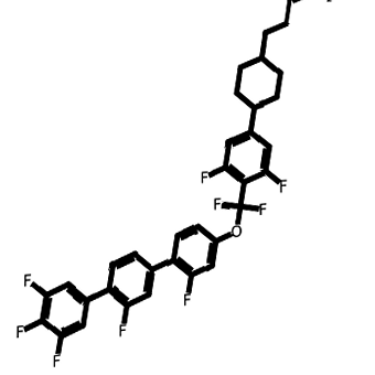 C=CCCC1CCC(c2cc(F)c(C(F)(F)Oc3ccc(-c4ccc(-c5cc(F)c(F)c(F)c5)c(F)c4)c(F)c3)c(F)c2)CC1